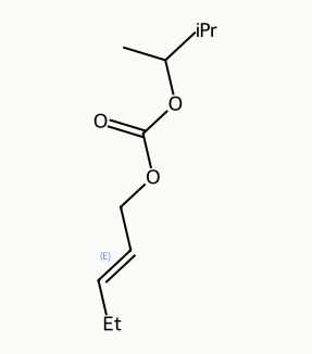 CC/C=C/COC(=O)OC(C)C(C)C